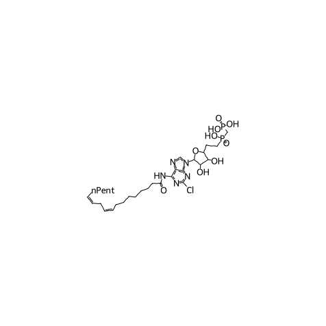 CCCCC/C=C\C/C=C\CCCCCCCC(=O)Nc1nc(Cl)nc2c1ncn2C1OC(CCP(=O)(O)CP(=O)(O)O)C(O)C1O